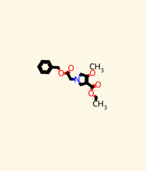 CCOC(=O)C1=C(OC)CN(CC(=O)OCc2ccccc2)C1